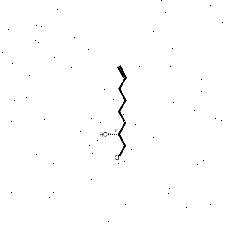 C=CCCCC[C@@H](O)CCl